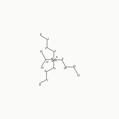 CCC[CH2][Sn]([CH2]CCC)([CH2]CCC)[CH](C)C